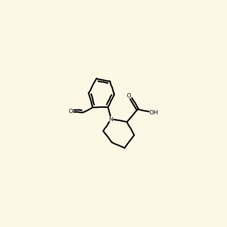 O=Cc1ccccc1N1CCCCC1C(=O)O